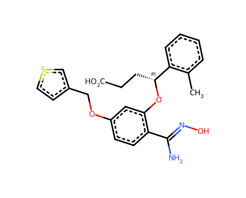 Cc1ccccc1[C@@H](CCC(=O)O)Oc1cc(OCc2ccsc2)ccc1C(N)=NO